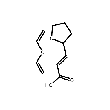 C=COC=C.O=C(O)C=CC1CCCO1